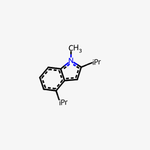 CC(C)c1cccc2c1cc(C(C)C)n2C